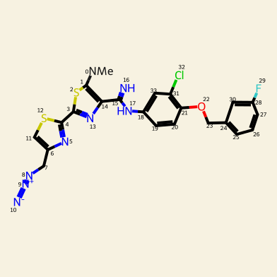 CNc1sc(-c2nc(CN=[N+]=[N-])cs2)nc1C(=N)Nc1ccc(OCc2cccc(F)c2)c(Cl)c1